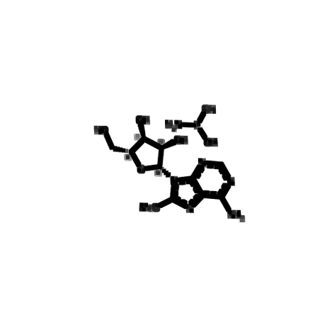 COc1nc2c(N)ncnc2n1[C@@H]1O[C@H](CO)[C@@H](O)[C@H]1O.NP(O)O